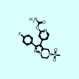 CS(=O)(=O)N1CCn2nc(-c3ccc(F)cc3)c(-c3ccnc(OC(N)=O)c3)c2C1